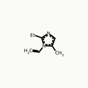 C=Cn1c(C)cnc1CC